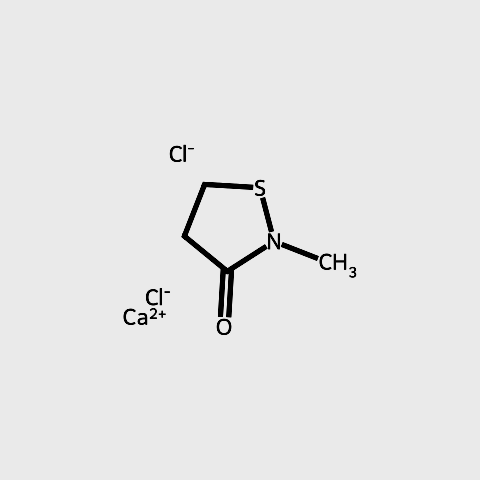 CN1SCCC1=O.[Ca+2].[Cl-].[Cl-]